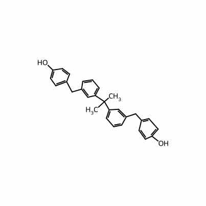 CC(C)(c1cccc(Cc2ccc(O)cc2)c1)c1cccc(Cc2ccc(O)cc2)c1